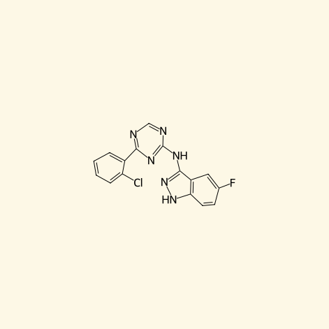 Fc1ccc2[nH]nc(Nc3ncnc(-c4ccccc4Cl)n3)c2c1